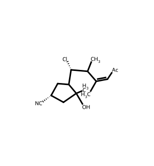 CC(=O)/C=C(/C)C(C)[C@@H](Cl)C1C[C@@H](C#N)CC1(C)O